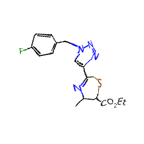 CCOC(=O)C1SC(c2cn(Cc3ccc(F)cc3)nn2)=NC1C